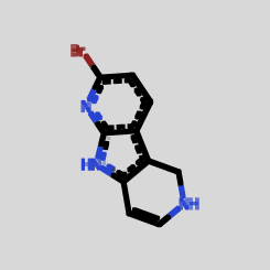 Brc1ccc2c3c([nH]c2n1)C=CNC3